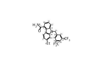 CCc1c[c]c2c3c(C(N)=O)cccc3n(Cc3cc(C(F)(F)F)cc(C(F)(F)F)c3)c2c1